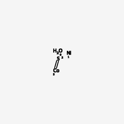 O.[Ni].[S]=[Co]